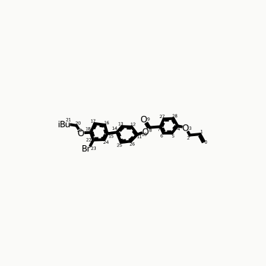 C=CCOc1ccc(C(=O)Oc2ccc(-c3ccc(OCC(C)CC)c(Br)c3)cc2)cc1